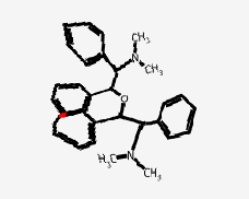 CN(C)C(c1ccccc1)C(OC(c1ccccc1)C(c1ccccc1)N(C)C)c1ccccc1